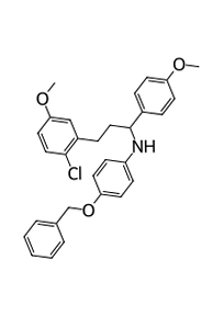 COc1ccc(C(CCc2cc(OC)ccc2Cl)Nc2ccc(OCc3ccccc3)cc2)cc1